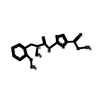 COC(=O)c1csc(NC(=O)[C@@H](N)Cc2ccccc2OC)n1